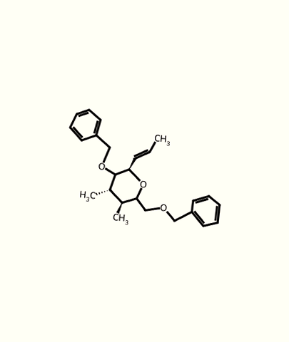 CC=C[C@H]1OC(COCc2ccccc2)[C@@H](C)[C@H](C)C1OCc1ccccc1